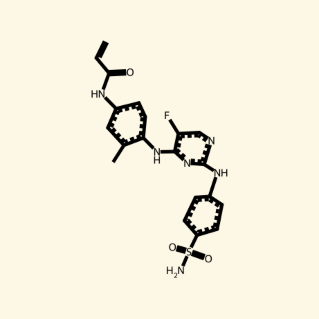 C=CC(=O)Nc1ccc(Nc2nc(Nc3ccc(S(N)(=O)=O)cc3)ncc2F)c(C)c1